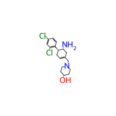 N[C@@H]1CC(CN2CCC(O)CC2)=CC[C@H]1c1ccc(Cl)cc1Cl